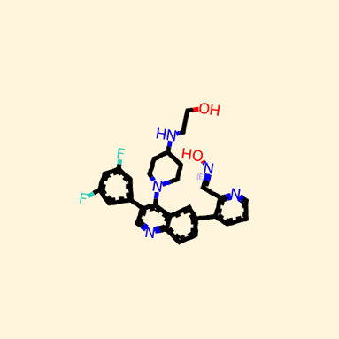 OCCNC1CCN(c2c(-c3cc(F)cc(F)c3)cnc3ccc(-c4cccnc4/C=N/O)cc23)CC1